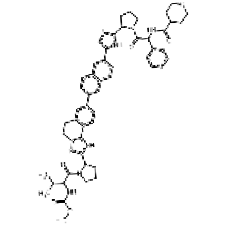 COC(=O)NC(C(=O)N1CCCC1c1nc2c([nH]1)-c1ccc(-c3ccc4cc(-c5cnc(C6CCCN6C(=O)C(NC(=O)C6CCOCC6)c6ccccc6)[nH]5)ccc4c3)cc1CC2)C(C)C